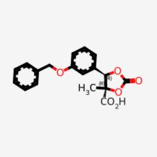 C[C@@]1(C(=O)O)OC(=O)O[C@@H]1c1cccc(OCc2ccccc2)c1